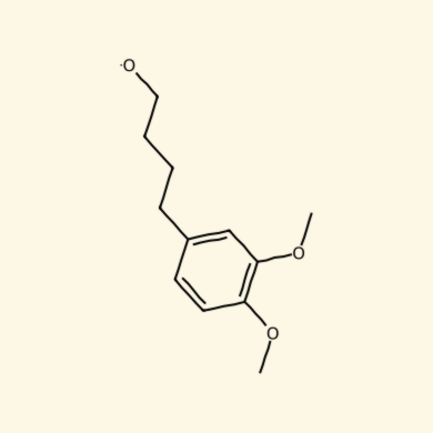 COc1ccc(CCCC[O])cc1OC